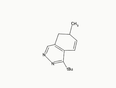 CC1C=Cc2c(cnnc2C(C)(C)C)C1